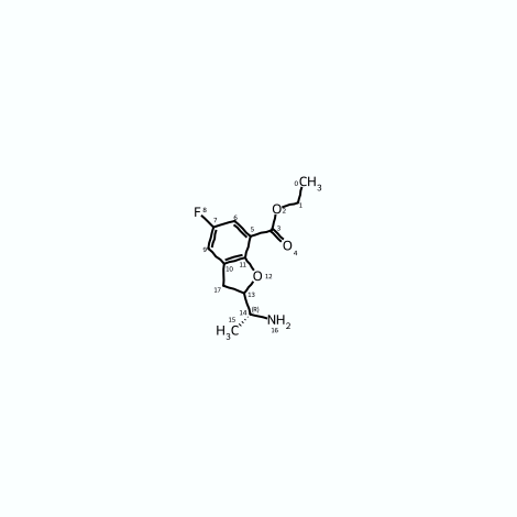 CCOC(=O)c1cc(F)cc2c1OC([C@@H](C)N)C2